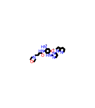 CNc1cc(OC)c(Nc2nccc(-n3ccc4cccnc43)n2)cc1NC(=O)/C=C/CN1CCOCC1